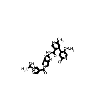 COc1cnc(Cl)cc1-c1cc(C)ncc1C(=O)Nc1nc2c(s1)CN(C(=O)c1cnn(C(C)C)c1)C2